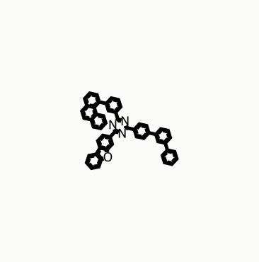 c1ccc(-c2cccc(-c3ccc(-c4nc(-c5cccc(-c6cccc7ccc8ccccc8c67)c5)nc(-c5ccc6c(c5)oc5ccccc56)n4)cc3)c2)cc1